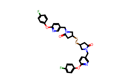 O=C1CC(SSC2CC(=O)N(Cc3ccc(Oc4ccc(F)cc4)nc3)C2)CN1Cc1ccc(Oc2ccc(F)cc2)nc1